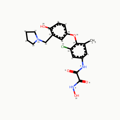 Cc1cc(NC(=O)C(=O)NO)cc(Cl)c1Oc1ccc(O)c(CN2CCCC2)c1